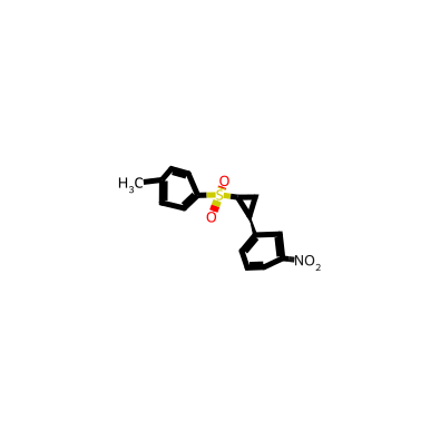 Cc1ccc(S(=O)(=O)C2C[C@H]2c2cccc([N+](=O)[O-])c2)cc1